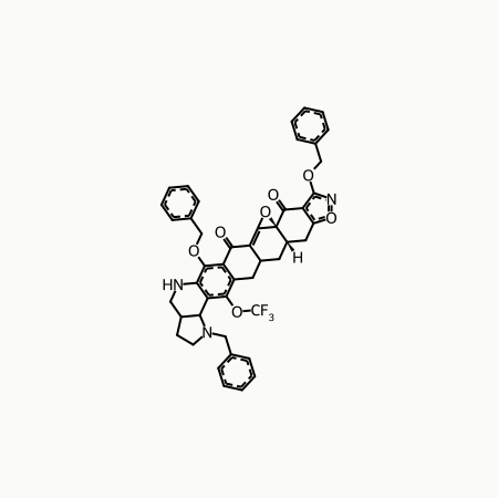 O=C1C2=C3O[C@]34C(=O)c3c(OCc5ccccc5)noc3C[C@@H]4CC2Cc2c(OC(F)(F)F)c3c(c(OCc4ccccc4)c21)NCC1CCN(Cc2ccccc2)C31